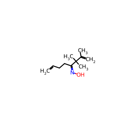 C=CCCC(=NO)C(C)(C)C(=C)C